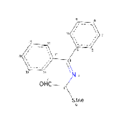 CSC(C=O)N=C(c1ccccc1)c1ccccc1